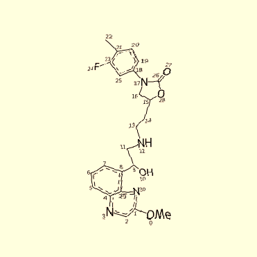 COc1cnc2cccc(C(O)CNCCC3CN(c4ccc(C)c(F)c4)C(=O)O3)c2n1